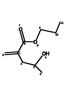 C=C(CC(C)O)C(=O)OCCC